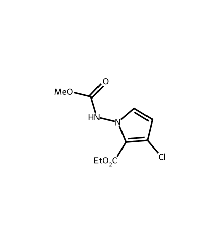 CCOC(=O)c1c(Cl)ccn1NC(=O)OC